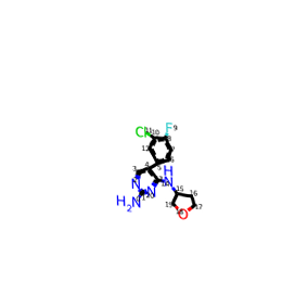 Nc1ncc(-c2ccc(F)c(Cl)c2)c(NC2CCOC2)n1